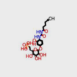 C#CCCCC(=O)NC(=O)Nc1ccc(O[C@H]2O[C@H](CCP(=O)(O)O)[C@@H](O)[C@H](O)[C@@H]2O)cc1O